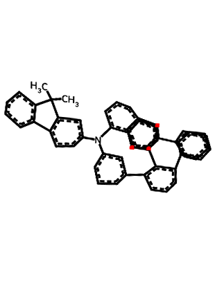 CC1(C)c2ccccc2-c2ccc(N(c3cccc(-c4cccc(-c5ccccc5)c4-c4ccccc4-c4ccccc4)c3)c3cccc4ccccc34)cc21